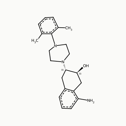 Cc1cccc(C)c1N1CCN([C@H]2Cc3cccc(N)c3C[C@@H]2O)CC1